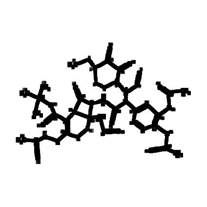 CCN1CCN(N(C=O)C(C(=O)N[C@@H]2C(=O)N3C(C(=O)OC(C)(C)C)=C(COC(C)=O)CSC23NC=O)c2ccc(OC(C)=O)c(OC(C)=O)c2)C(=O)C1=O